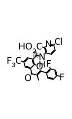 Cc1c(-c2ccc(F)cc2F)oc2c([C@@H](C)Nc3ccc(Cl)nc3C(=O)O)cc(C(F)(F)F)cc2c1=O